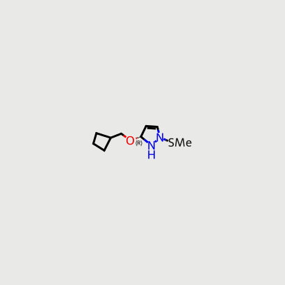 CSN1C=C[C@@H](OCC2CCC2)N1